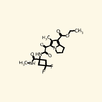 CCOC(=O)c1c(C)c(C(=O)C(=O)NC2(C(=O)NC)CC(F)(F)C2)n2c1CCC2